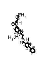 CCn1c(CCNC(=O)c2ccc(-c3ccccc3)nc2)nc2cc(C(=O)NCCOC)ccc21